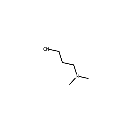 [C-]#[N+]CCCN(C)C